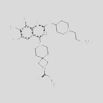 CCc1cc2c(N3CCC4(CC3)CN(C(=O)OC(C)(C)C)C4)nc(OC3CCN(CCOC)CC3)nc2c(F)c1Br